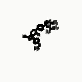 COc1ccc(-n2nc(C#N)c3c2C(=O)N(c2ccc(C4(CN(C(C)C)C(C)C)CC4)cc2)CC3)cc1